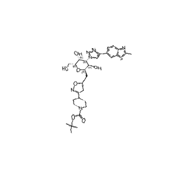 Cc1nc2ccc(-c3cn([C@H]4[C@@H](O)[C@@H](CO)O[C@H](CC5CC(C6CCN(C(=O)OC(C)(C)C)CC6)=NO5)[C@@H]4O)nn3)cc2s1